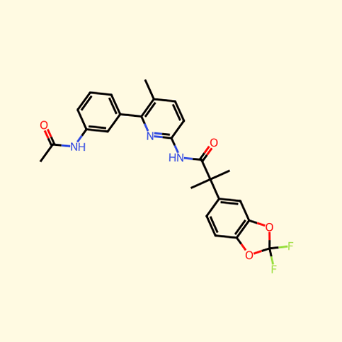 CC(=O)Nc1cccc(-c2nc(NC(=O)C(C)(C)c3ccc4c(c3)OC(F)(F)O4)ccc2C)c1